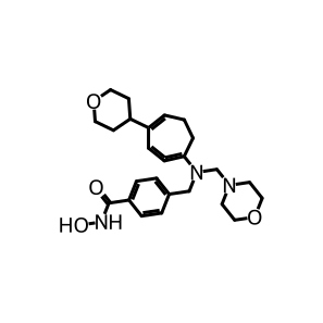 O=C(NO)c1ccc(CN(CN2CCOCC2)C2=C=CC(C3CCOCC3)=CCC2)cc1